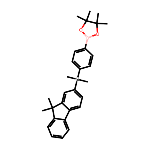 CC1(C)c2ccccc2-c2ccc([Si](C)(C)c3ccc(B4OC(C)(C)C(C)(C)O4)cc3)cc21